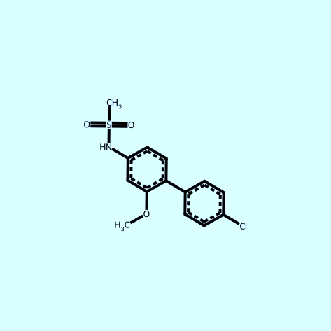 COc1cc(NS(C)(=O)=O)ccc1-c1ccc(Cl)cc1